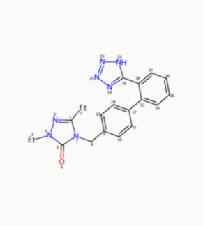 CCc1nn(CC)c(=O)n1Cc1ccc(-c2ccccc2-c2nnn[nH]2)cc1